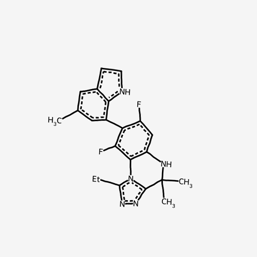 CCc1nnc2n1-c1c(cc(F)c(-c3cc(C)cc4cc[nH]c34)c1F)NC2(C)C